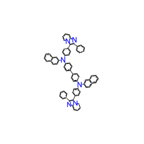 c1ccc(-c2nc3ccccn3c2-c2ccc(N(c3ccc(-c4ccc(N(c5ccc(-c6c(-c7ccccc7)nc7ccccn67)cc5)c5ccc6ccccc6c5)cc4)cc3)c3ccc4ccccc4c3)cc2)cc1